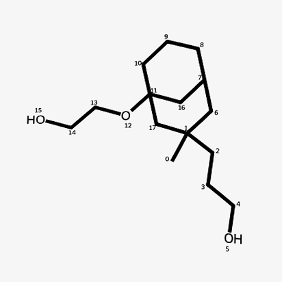 CC1(CCCO)CC2CCCC(OCCO)(C2)C1